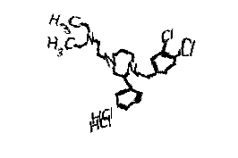 CCN(CC)CCN1CCN(Cc2ccc(Cl)c(Cl)c2)C(c2ccccc2)C1.Cl.Cl